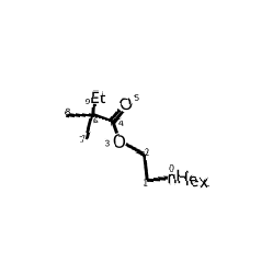 CCCCCCCCOC(=O)C(C)(C)CC